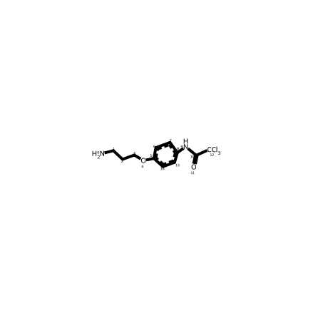 NCCCOc1ccc(NC(=O)C(Cl)(Cl)Cl)cc1